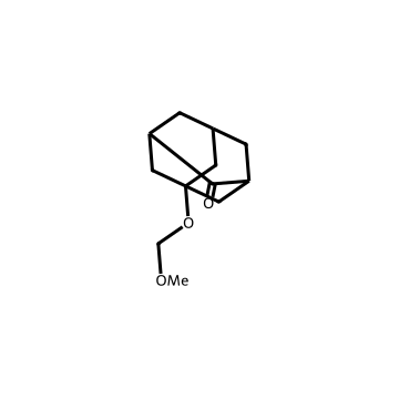 COCOC12CC3CC(C1)C(=O)C(C3)C2